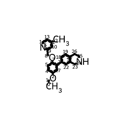 CCOc1ccc(OCc2cc(C)ccn2)c(-c2ccc3c(c2)CNCC3)c1